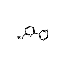 CC(C)(C)c1cccc(-c2cccnc2)n1